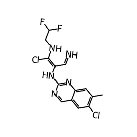 Cc1cc2nc(N/C(C=N)=C(\Cl)NCC(F)F)ncc2cc1Cl